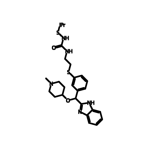 CC(C)SNC(=O)NCCSc1cccc(C(OC2CCN(C)CC2)c2nc3ccccc3[nH]2)c1